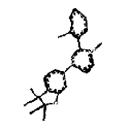 Cc1ccccc1-c1cc(-c2ccc3c(c2)OC(C)(C)C3(C)C)cc[n+]1C